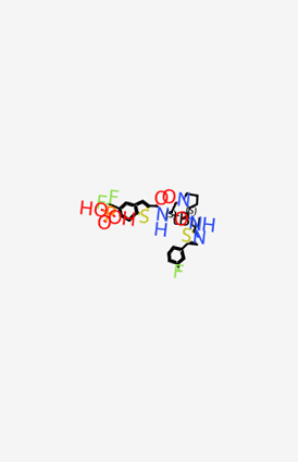 CC(C)(C)[C@H](NC(=O)c1cc2cc(C(F)(F)P(=O)(O)O)ccc2s1)C(=O)N1CCC[C@H]1C(=O)Nc1ncc(-c2cccc(F)c2)s1